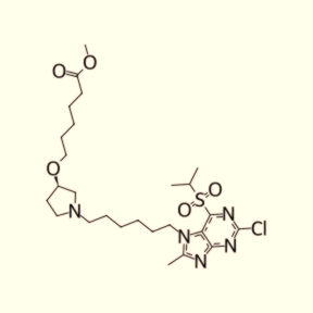 COC(=O)CCCCCO[C@@H]1CCN(CCCCCCn2c(C)nc3nc(Cl)nc(S(=O)(=O)C(C)C)c32)C1